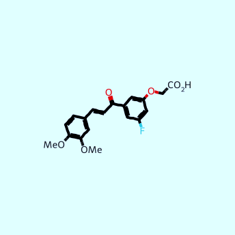 COc1ccc(C=CC(=O)c2cc(F)cc(OCC(=O)O)c2)cc1OC